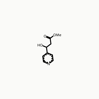 COC(=O)CC(O)c1ccncc1